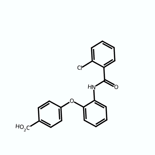 O=C(O)c1ccc(Oc2ccccc2NC(=O)c2ccccc2Cl)cc1